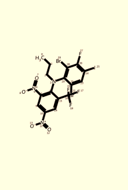 CCCN(c1c([N+](=O)[O-])cc([N+](=O)[O-])cc1C(F)(F)F)c1c(Br)cc(I)c(F)c1Br